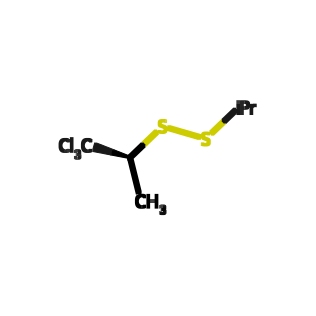 CC(C)SS[C@@H](C)C(Cl)(Cl)Cl